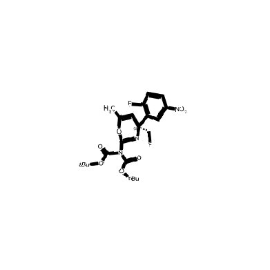 CC1=C[C@@](CF)(c2cc([N+](=O)[O-])ccc2F)N=C(N(C(=O)OC(C)(C)C)C(=O)OC(C)(C)C)O1